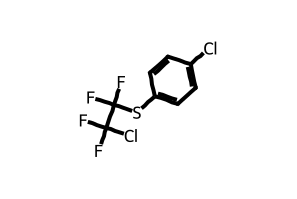 FC(F)(Cl)C(F)(F)Sc1ccc(Cl)cc1